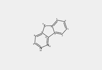 c1ccc2c(c1)sc1ccnnc12